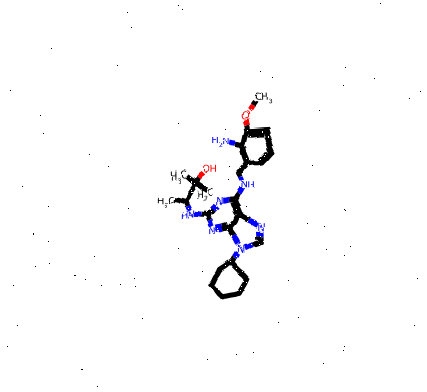 COc1cccc(CNc2nc(NC(C)C(C)(C)O)nc3c2ncn3C2CCCCC2)c1N